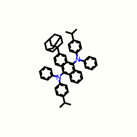 CC(C)c1ccc(N(c2ccccc2)c2c3ccccc3c(N(c3ccccc3)c3ccc(C(C)C)cc3)c3cc(C45CC6CC(CC(C6)C4)C5)ccc23)cc1